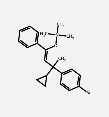 CC(/C=C(\O[Si](C)(C)C)c1ccccc1)(c1ccc(Br)cc1)C1CC1